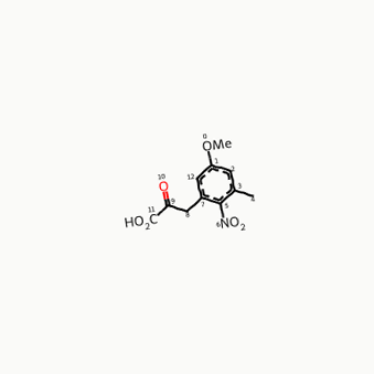 COc1cc(C)c([N+](=O)[O-])c(CC(=O)C(=O)O)c1